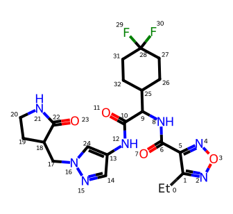 CCc1nonc1C(=O)NC(C(=O)Nc1cnn(CC2CCNC2=O)c1)C1CCC(F)(F)CC1